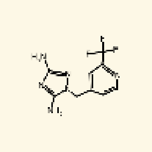 Nc1nc(N)n(Cc2ccnc(C(F)(F)F)c2)n1